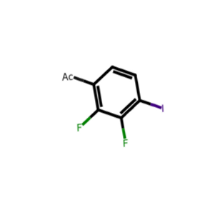 CC(=O)c1ccc(I)c(F)c1F